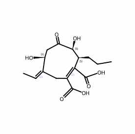 C/C=C1/C/C(C(=O)O)=C(/C(=O)O)[C@H](CCC)[C@H](O)C(=O)C[C@@H]1O